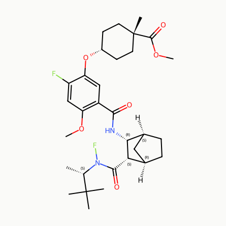 COc1cc(F)c(O[C@H]2CC[C@@](C)(C(=O)OC)CC2)cc1C(=O)N[C@@H]1[C@H]2CC[C@H](C2)[C@@H]1C(=O)N(F)[C@@H](C)C(C)(C)C